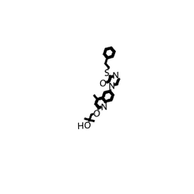 Cc1cc(OCC(C)(C)O)nc2ccc(-n3ccnc(SCCc4ccccc4)c3=O)cc12